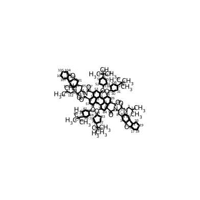 CC(C)CNC(=O)C(Cc1ccc2c(c1)oc1ccccc12)N1C(=O)c2cc(Oc3ccc(C(C)(C)C)cc3)c3c4c(Oc5ccc(C(C)(C)C)cc5)cc5c6c(cc(Oc7ccc(C(C)(C)C)cc7)c(c7c(Oc8ccc(C(C)(C)C)cc8)cc(c2c37)C1=O)c64)C(=O)N(C(Cc1ccc2c(c1)oc1ccccc12)C(=O)NCC(C)C)C5=O